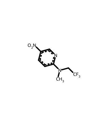 CN(CC(F)(F)F)c1ccc([N+](=O)[O-])cn1